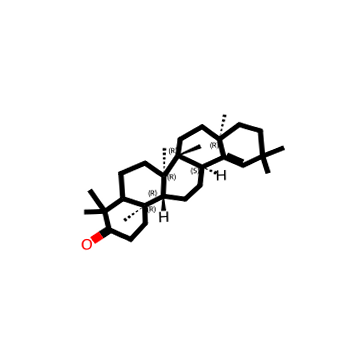 CC1(C)C=C2[C@H]3CC[C@@H]4[C@@]5(C)CCC(=O)C(C)(C)C5CC[C@@]4(C)[C@]3(C)CC[C@@]2(C)CC1